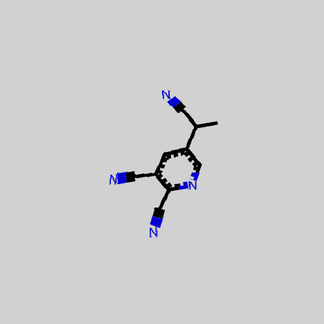 CC(C#N)c1cnc(C#N)c(C#N)c1